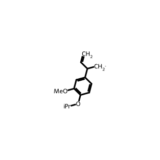 [CH2]C(C=C)c1ccc(OC(C)C)c(OC)c1